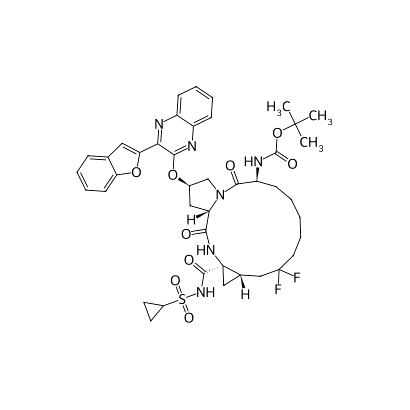 CC(C)(C)OC(=O)N[C@H]1CCCCCC(F)(F)C[C@@H]2C[C@@]2(C(=O)NS(=O)(=O)C2CC2)NC(=O)[C@@H]2C[C@@H](Oc3nc4ccccc4nc3-c3cc4ccccc4o3)CN2C1=O